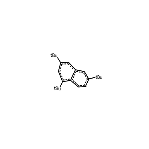 CC(C)(C)c1[c]cc2c(C(C)(C)C)cc(C(C)(C)C)cc2c1